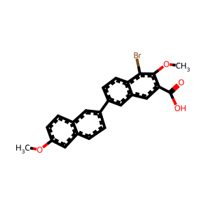 COc1ccc2cc(-c3ccc4c(Br)c(OC)c(C(=O)O)cc4c3)ccc2c1